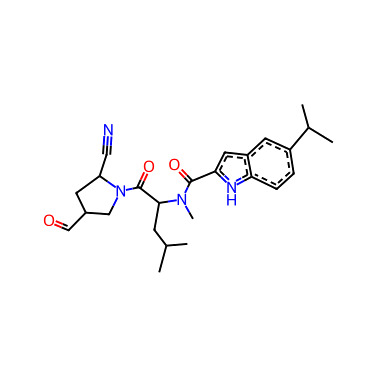 CC(C)CC(C(=O)N1CC(C=O)CC1C#N)N(C)C(=O)c1cc2cc(C(C)C)ccc2[nH]1